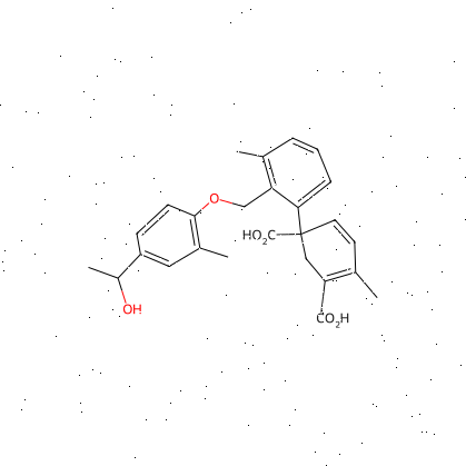 CC1=C(C(=O)O)CC(C(=O)O)(c2cccc(C)c2COc2ccc(C(C)O)cc2C)C=C1